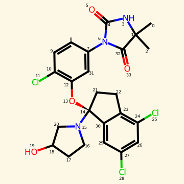 CC1(C)NC(=O)N(c2ccc(Cl)c(O[C@@]3(N4CCC(O)C4)CCc4c(Cl)cc(Cl)cc43)c2)C1=O